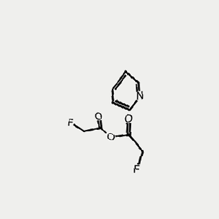 O=C(CF)OC(=O)CF.c1ccncc1